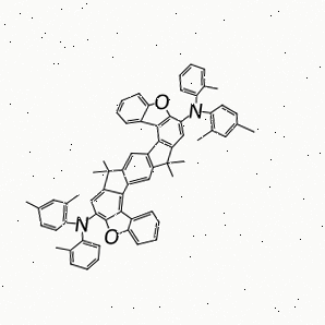 Cc1ccc(N(c2ccccc2C)c2cc3c(c4c2oc2ccccc24)-c2cc4c(cc2C3(C)C)-c2c(cc(N(c3ccccc3C)c3ccc(C)cc3C)c3oc5ccccc5c23)C4(C)C)c(C)c1